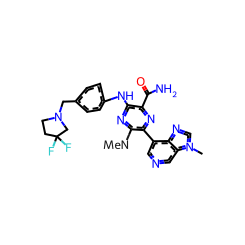 CNc1nc(Nc2ccc(CN3CCC(F)(F)C3)cc2)c(C(N)=O)nc1-c1cncc2c1ncn2C